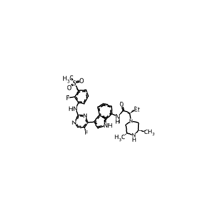 CC[C@H](C(=O)Nc1cccc2c(-c3nc(Nc4cccc(S(C)(=O)=O)c4F)ncc3F)c[nH]c12)N1C[C@@H](C)N[C@H](C)C1